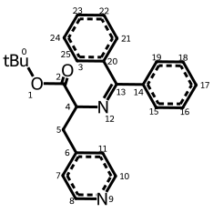 CC(C)(C)OC(=O)C(Cc1ccncc1)N=C(c1ccccc1)c1ccccc1